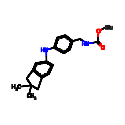 CC1(C)Cc2ccc(Nc3ccc(CNC(=O)OC(C)(C)C)cc3)cc2C1